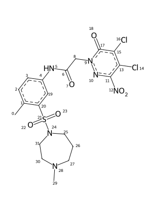 Cc1ccc(NC(=O)Cn2nc([N+](=O)[O-])c(Cl)c(Cl)c2=O)cc1S(=O)(=O)N1CCCN(C)CC1